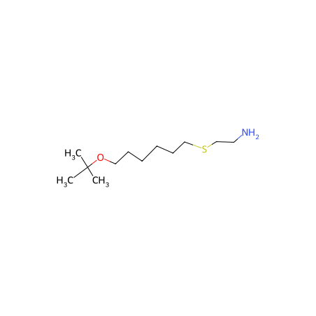 CC(C)(C)OCCCCCCSCCN